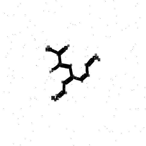 C=C\C=C/C(/C=C(\F)C(=O)O)=C\C=C